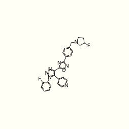 Fc1ccccc1-n1nnc(-c2nc(-c3ccc(CN4CCC(F)C4)cc3)no2)c1-c1ccncc1